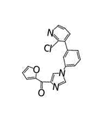 O=C(c1cn(-c2cccc(-c3cccnc3Cl)c2)cn1)c1ccco1